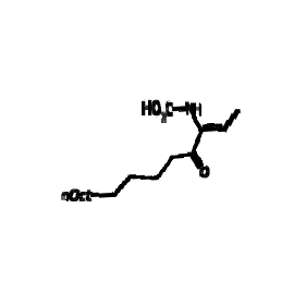 C/C=C(\NC(=O)O)C(=O)CCCCCCCCCCCC